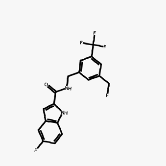 O=C(NCc1cc(CF)cc(C(F)(F)F)c1)c1cc2cc(F)ccc2[nH]1